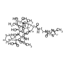 CCC1CC(C(=O)NCCNC(=O)c2nc(C)cs2)C[C@@H](O[C@@H]2OC(CO)[C@H](O)C(O[C@@H](CC3CCCCC3)C(=O)O)C2NC(C)=O)C1OC1O[C@@H](C)C(O)C(O)[C@@H]1O